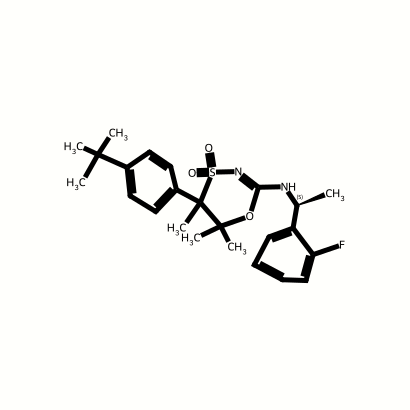 C[C@H](NC1=NS(=O)(=O)C(C)(c2ccc(C(C)(C)C)cc2)C(C)(C)O1)c1ccccc1F